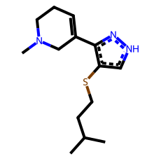 CC(C)CCSc1c[nH]nc1C1=CCCN(C)C1